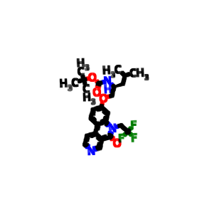 CC(C)C[C@@H](COc1ccc2c3ccncc3c(=O)n(CC(F)(F)F)c2c1)NC(=O)OC(C)(C)C